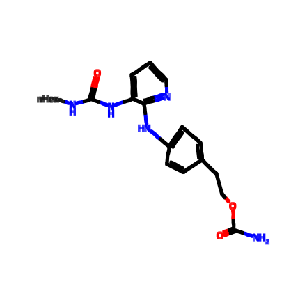 CCCCCCNC(=O)Nc1cccnc1Nc1ccc(CCOC(N)=O)cc1